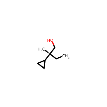 CC[C@@](C)(CO)C1CC1